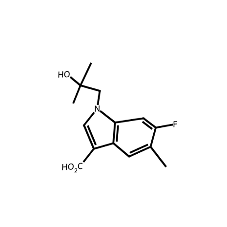 Cc1cc2c(C(=O)O)cn(CC(C)(C)O)c2cc1F